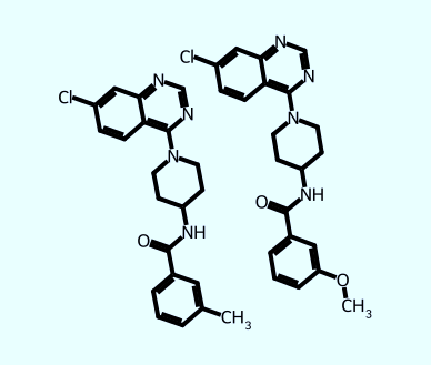 COc1cccc(C(=O)NC2CCN(c3ncnc4cc(Cl)ccc34)CC2)c1.Cc1cccc(C(=O)NC2CCN(c3ncnc4cc(Cl)ccc34)CC2)c1